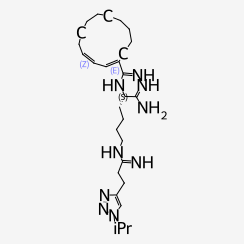 CC(C)n1cc(CCC(=N)NCCCC[C@H](NC(=N)/C2=C/C=C\CCCCCCCCC2)C(=N)N)nn1